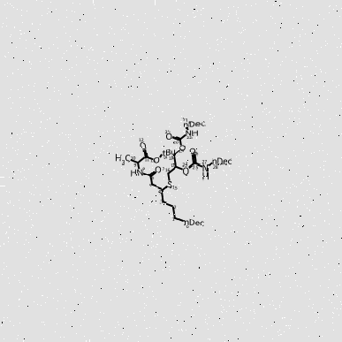 CCCCCCCCCCCCCC(CC(=O)NC(C)C(=O)OC(C)(C)C)SCC(COC(=O)NCCCCCCCCCC)OC(=O)NCCCCCCCCCC